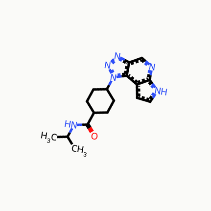 CC(C)NC(=O)C1CCC(n2nnc3cnc4[nH]ccc4c32)CC1